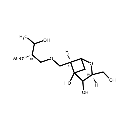 CO[C@@H](COC[C@H]1C2CC1(O)C(O)[C@H](CO)O2)C(C)O